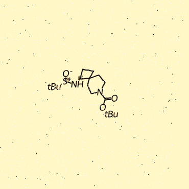 CC(C)(C)OC(=O)N1CCC2(CC[C@H]2N[S@@+]([O-])C(C)(C)C)CC1